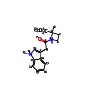 CCOC(=O)C1(C)CCN1C(=O)Cc1cn(C)c2ccccc12